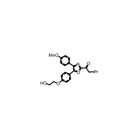 COc1ccc(-c2nc(C(=O)CC(C)C)oc2-c2ccc(OCCO)cc2)cc1